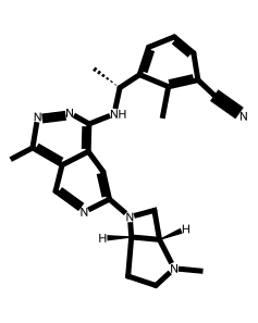 Cc1c(C#N)cccc1[C@@H](C)Nc1nnc(C)c2cnc(N3C[C@H]4[C@@H]3CCN4C)cc12